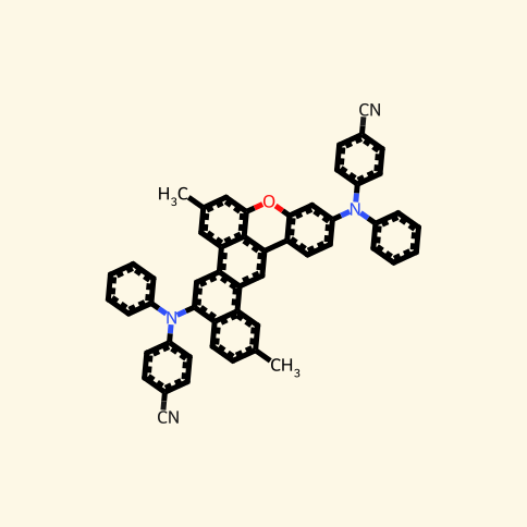 Cc1ccc2c(N(c3ccccc3)c3ccc(C#N)cc3)cc3c4cc(C)cc5c4c(cc3c2c1)-c1ccc(N(c2ccccc2)c2ccc(C#N)cc2)cc1O5